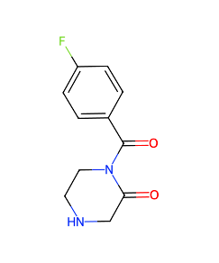 O=C1CNCCN1C(=O)c1ccc(F)cc1